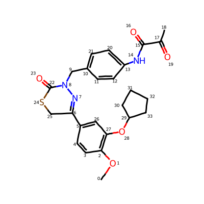 COc1ccc(C2=NN(Cc3ccc(NC(=O)C(C)=O)cc3)C(=O)SC2)cc1OC1CCCC1